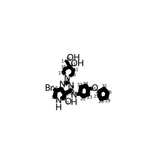 O=c1[nH]cc(Br)c2nc(N3CCC(O)(CO)CC3)nc(Nc3ccc(Oc4ccccc4)cc3)c12